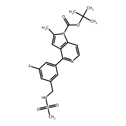 Cc1cc2c(-c3cc(F)cc(CNS(C)(=O)=O)c3)nccc2n1C(=O)OC(C)(C)C